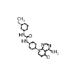 CCc1cccc(NC(=O)Nc2ccc(-n3ccc(=O)c4c(N)ncnc43)cc2)c1